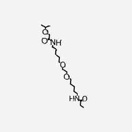 CCC(=O)NCCCCCOCCOCCCCCNC(=O)COC(C)C